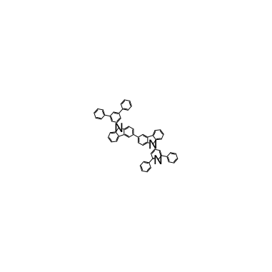 c1ccc(-c2cc(-c3ccccc3)cc(-n3c4ccccc4c4cc(-c5ccc6c(c5)c5ccccc5n6-c5cc(-c6ccccc6)nc(-c6ccccc6)c5)ccc43)c2)cc1